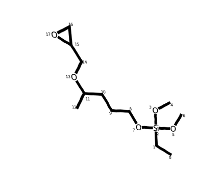 CC[Si](OC)(OC)OCCCC(C)OCC1CO1